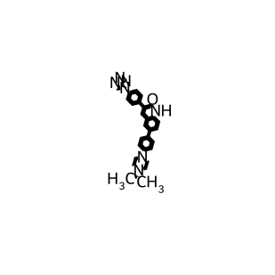 CC(C)N1CCN(c2ccc(-c3ccc4[nH]c(=O)c(-c5ccc(-n6cnnn6)cc5)cc4c3)cc2)CC1